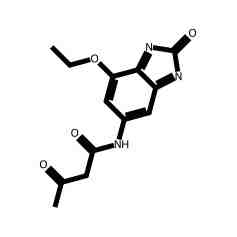 CCOc1cc(NC(=O)CC(C)=O)cc2c1=NC(=O)N=2